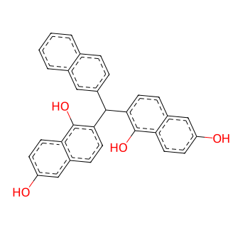 Oc1ccc2c(O)c(C(c3ccc4ccccc4c3)c3ccc4cc(O)ccc4c3O)ccc2c1